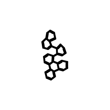 c1ccc(-c2cccc3c4ccccc4c4ccccc4c23)c(-c2cccc3ccccc23)c1